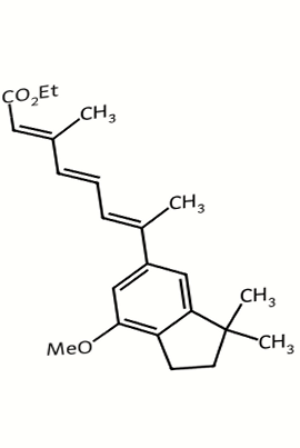 CCOC(=O)/C=C(\C)C=CC=C(C)c1cc(OC)c2c(c1)C(C)(C)CC2